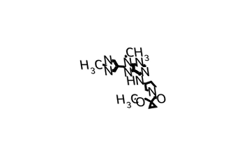 CCn1c(-c2cnc(C)nc2)nc2c(N[C@H]3CCN(C(=O)C4(COC)CC4)C3)ncnc21